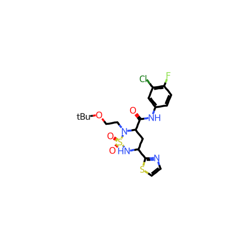 CC(C)(C)OCCN1C(C(=O)Nc2ccc(F)c(Cl)c2)CC(c2nccs2)NS1(=O)=O